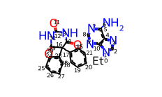 CCn1cnc2c(N)ncnc21.O=C1NC(=O)C(c2ccccc2)(c2ccccc2)C(=O)N1